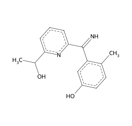 Cc1ccc(O)cc1C(=N)c1cccc(C(C)O)n1